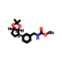 CC(C)(C)OC(=O)NCc1cccc([C@H]2CC[C@@H]3OC(C)(C)O[C@@H]32)c1